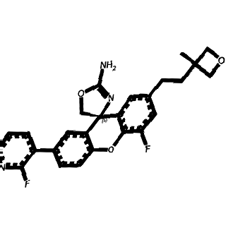 CC1(CCc2cc(F)c3c(c2)[C@]2(COC(N)=N2)c2cc(-c4cccnc4F)ccc2O3)COC1